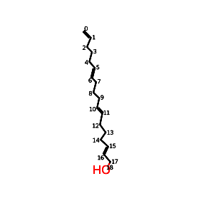 C=CCCCC=CCCCC=CCCCC=CCO